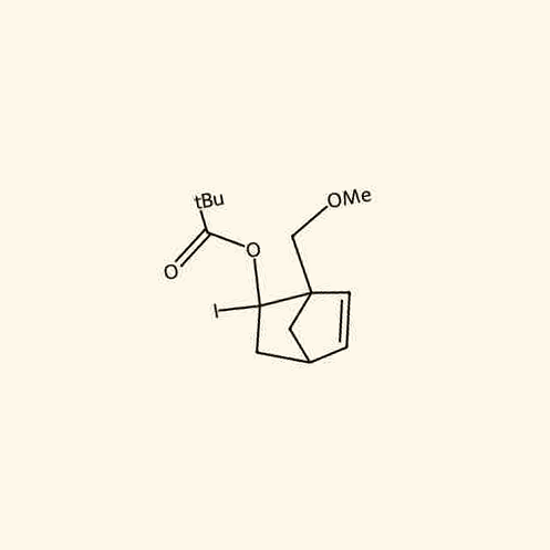 COCC12C=CC(C1)CC2(I)OC(=O)C(C)(C)C